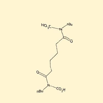 CCCCN(C(=O)O)C(=O)CCCCC(=O)N(CCCC)C(=O)O